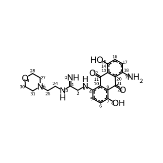 N=C(CNc1ccc(O)c2c1C(=O)c1c(O)ccc(N)c1C2=O)NCCN1CCOCC1